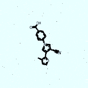 Cc1ccsc1-c1cn(-c2ccc(C(=O)O)cc2)cc1C#N